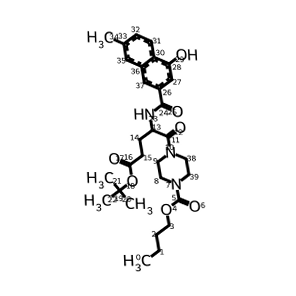 CCCCOC(=O)N1CCN(C(=O)C(CCC(=O)OC(C)(C)C)NC(=O)c2cc(O)c3ccc(C)cc3c2)CC1